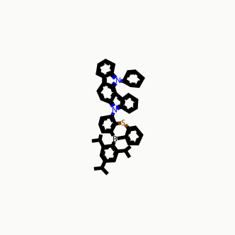 CC(C)c1cc(C(C)C)c(B2c3ccccc3Sc3c2cccc3-n2c3ccccc3c3c2ccc2c4ccccc4n(-c4ccccc4)c23)c(C(C)C)c1